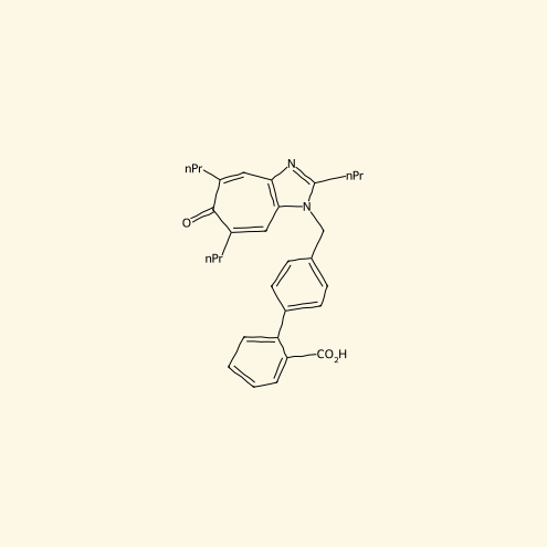 CCCc1cc2nc(CCC)n(Cc3ccc(-c4ccccc4C(=O)O)cc3)c2cc(CCC)c1=O